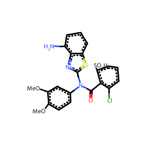 COc1ccc(N(C(=O)c2c(Cl)cccc2S(=O)(=O)O)c2nc3c(N)cccc3s2)cc1OC